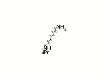 CC(C)CNCCCCCCCCCN